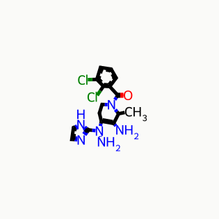 CC1C(N)=C(N(N)c2ncc[nH]2)CCN1C(=O)c1cccc(Cl)c1Cl